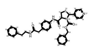 O=C(Cc1ccc(NC(=O)C2CSC(c3ccncc3)N2C(=O)OCc2ccccc2)cc1)NCCc1ccccc1